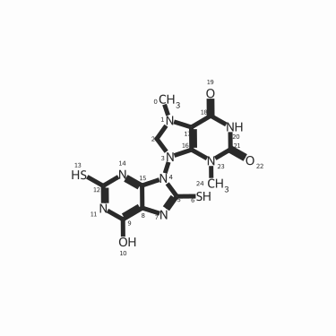 CN1CN(n2c(S)nc3c(O)nc(S)nc32)c2c1c(=O)[nH]c(=O)n2C